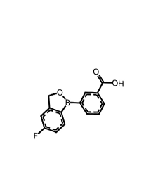 O=C(O)c1cccc(B2OCc3cc(F)ccc32)c1